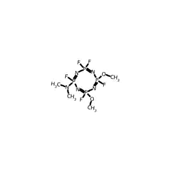 COP1(F)=NP(F)(OC)=NP(F)(N(C)C)=NP(F)(F)=N1